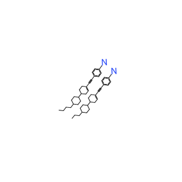 CCCC1CCC(C2CC=C(C#Cc3ccc(C#N)cc3)CC2)CC1.CCCCC1CCC(C2CC=C(C#Cc3ccc(C#N)cc3)CC2)CC1